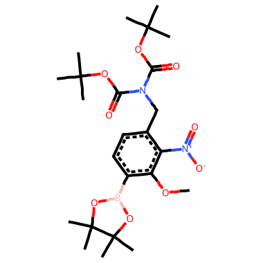 COc1c(B2OC(C)(C)C(C)(C)O2)ccc(CN(C(=O)OC(C)(C)C)C(=O)OC(C)(C)C)c1[N+](=O)[O-]